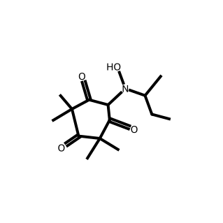 CCC(C)N(O)C1C(=O)C(C)(C)C(=O)C(C)(C)C1=O